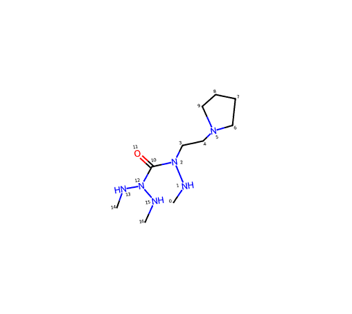 CNN(CCN1CCCC1)C(=O)N(NC)NC